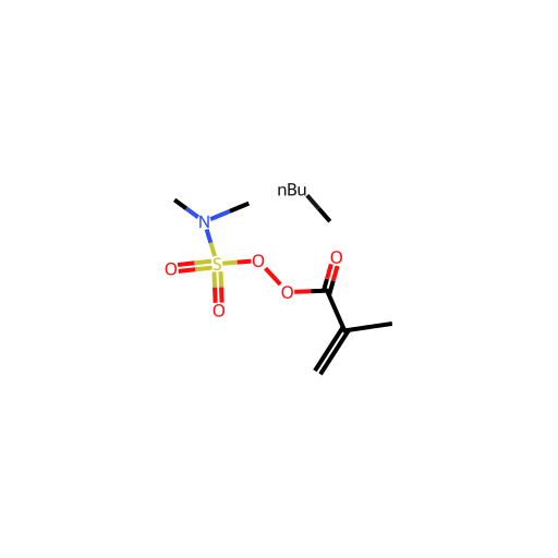 C=C(C)C(=O)OOS(=O)(=O)N(C)C.CCCCC